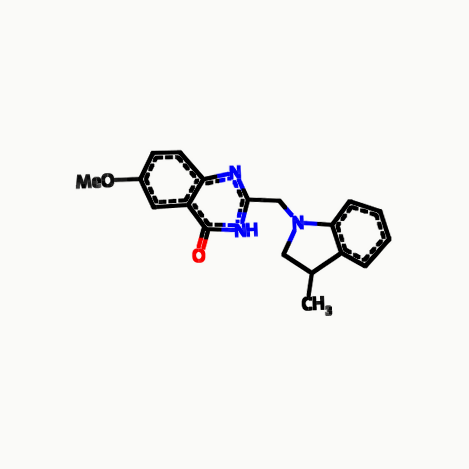 COc1ccc2nc(CN3CC(C)c4ccccc43)[nH]c(=O)c2c1